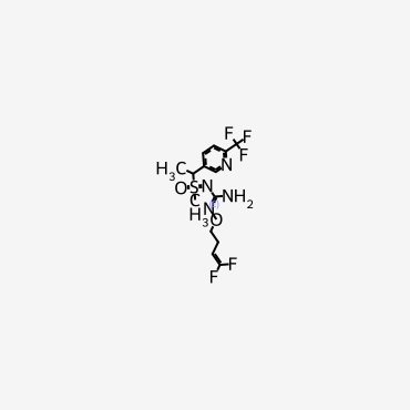 CC(c1ccc(C(F)(F)F)nc1)S(C)(=O)=N/C(N)=N/OCCC=C(F)F